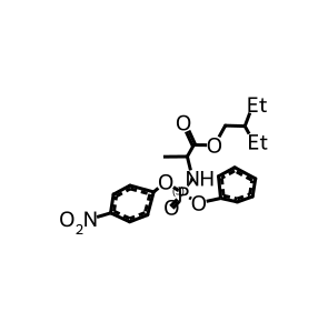 CCC(CC)COC(=O)C(C)N[P@](=O)(Oc1ccccc1)Oc1ccc([N+](=O)[O-])cc1